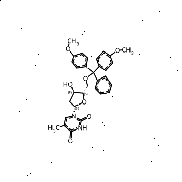 COc1ccc(C(OC[C@@H]2O[C@H](n3cc(C)c(=O)[nH]c3=O)C[C@H]2O)(c2ccccc2)c2ccc(OC)cc2)cc1